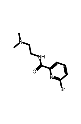 CN(C)CCNC(=O)c1cccc(Br)n1